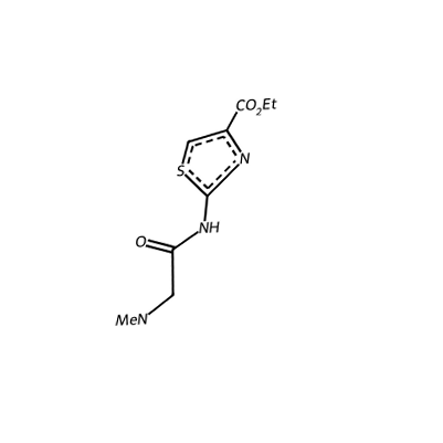 CCOC(=O)c1csc(NC(=O)CNC)n1